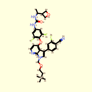 CC(NC(=O)Nc1cc(F)c(Oc2ccnc3c2c(-c2ccc(C#N)c(F)c2)cn3COCC[Si](C)(C)C)c(F)c1)C1COC1